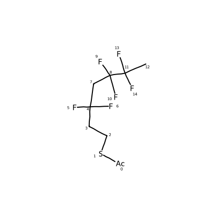 CC(=O)SCCC(F)(F)CC(F)(F)C(C)(F)F